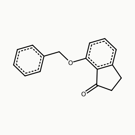 O=C1CCc2cccc(OCc3ccccc3)c21